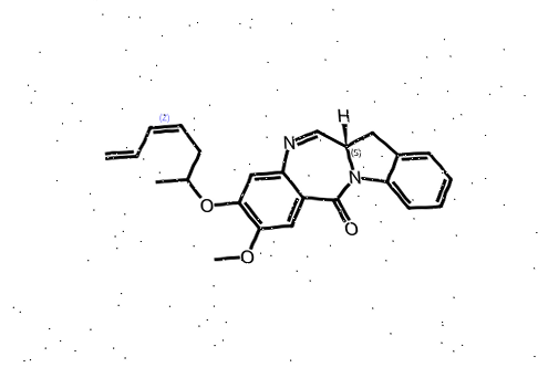 C=C/C=C\CC(C)Oc1cc2c(cc1OC)C(=O)N1c3ccccc3C[C@H]1C=N2